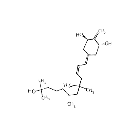 C=C1[C@H](O)CC(=C/C=C\CC(C)(C)C[C@H](C)CCCC(C)(C)O)C[C@H]1O